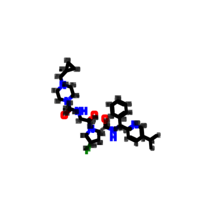 CC(C)c1ccc([C@@H](NC(=O)[C@@H]2C[C@@H](F)CN2C(=O)CNC(=O)N2CCN(CC3CC3)CC2)c2ccccc2)nc1